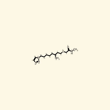 CNC(=O)COCCC(N)CCCCCn1ccnn1